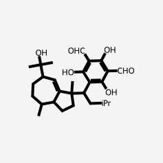 CC(C)CC(c1c(O)c(C=O)c(O)c(C=O)c1O)C1(C)CCC2C1=CC(C(C)(C)O)CCC2C